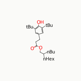 CCCCCCC(CCCC)COC(=O)CCc1cc(C(C)(C)C)c(O)c(C(C)(C)C)c1